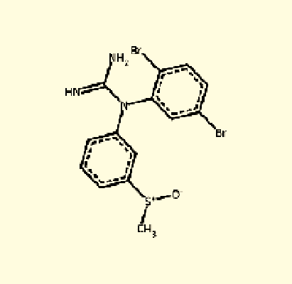 C[S+]([O-])c1cccc(N(C(=N)N)c2cc(Br)ccc2Br)c1